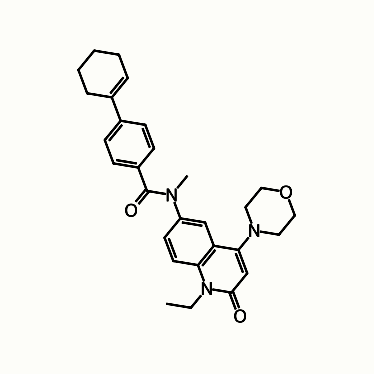 CCn1c(=O)cc(N2CCOCC2)c2cc(N(C)C(=O)c3ccc(C4=CCCCC4)cc3)ccc21